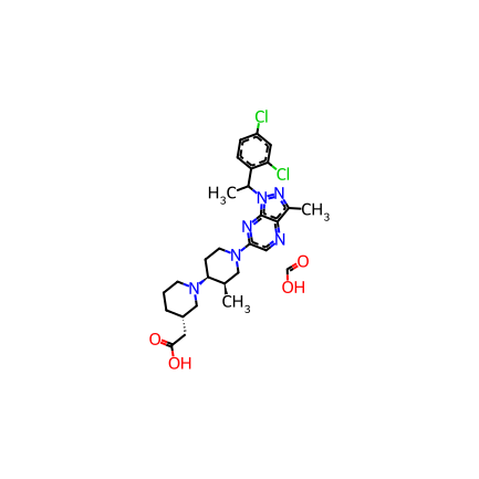 Cc1nn(C(C)c2ccc(Cl)cc2Cl)c2nc(N3CC[C@H](N4CCC[C@@H](CC(=O)O)C4)[C@H](C)C3)cnc12.O=CO